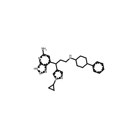 Nc1cc(C(CCNC2CCC(c3ccccc3)CC2)c2cnn(C3CC3)c2)c2nn[nH]c2n1